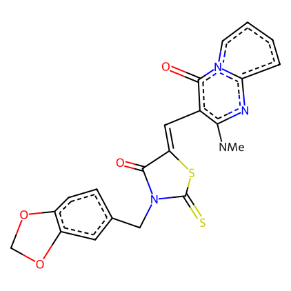 CNc1nc2ccccn2c(=O)c1/C=C1\SC(=S)N(Cc2ccc3c(c2)OCO3)C1=O